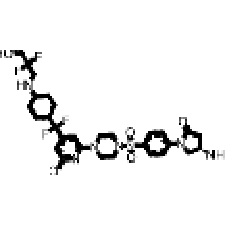 N[C@@H]1CC(=O)N(c2ccc(S(=O)(=O)N3CCN(c4cc(C(F)(F)C5CCC(NCC(F)(F)CO)CC5)cc(Cl)n4)CC3)cc2)C1